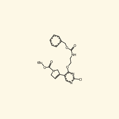 CC(C)(C)OC(=O)N1CC=C(c2cnc(Cl)nc2OCCNC(=O)OCc2ccccc2)C1